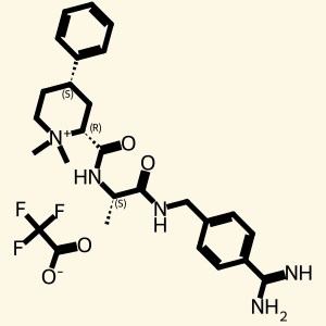 C[C@H](NC(=O)[C@H]1C[C@@H](c2ccccc2)CC[N+]1(C)C)C(=O)NCc1ccc(C(=N)N)cc1.O=C([O-])C(F)(F)F